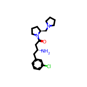 N[C@@H](CC(=O)N1CCC[C@H]1CN1CCCC1)Cc1cccc(Cl)c1